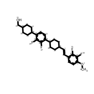 COc1ccc(/C=C/C2CCC(c3ccc(C4CCC(CO)CC4)c(F)c3F)CC2)c(F)c1F